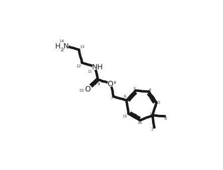 CC1(C)C=CC=C(COC(=O)NCCN)C=C1